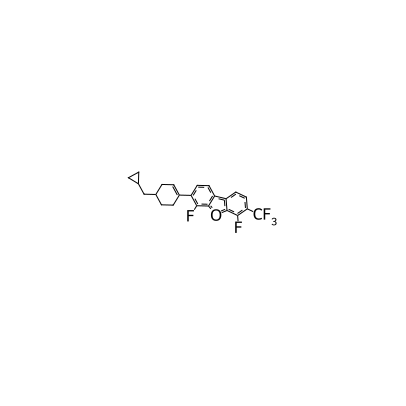 Fc1c(C2=CCC(CC3CC3)CC2)ccc2c1oc1c(F)c(C(F)(F)F)ccc12